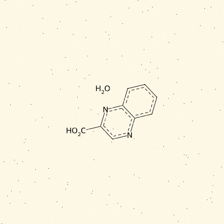 O.O=C(O)c1cnc2ccccc2n1